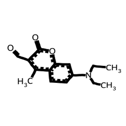 CCN(CC)c1ccc2c(C)c(C=O)c(=O)oc2c1